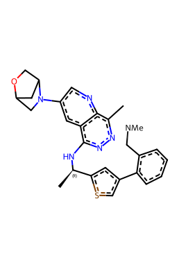 CNCc1ccccc1-c1csc([C@@H](C)Nc2nnc(C)c3ncc(N4CC5CC4CO5)cc23)c1